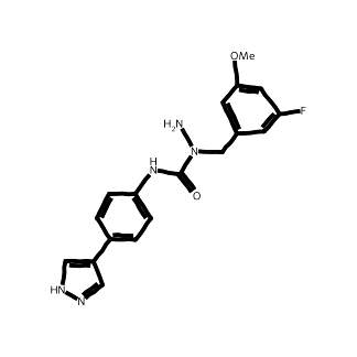 COc1cc(F)cc(CN(N)C(=O)Nc2ccc(-c3cn[nH]c3)cc2)c1